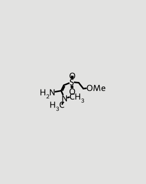 COCCS(=O)(=O)C=C(N)N(C)C